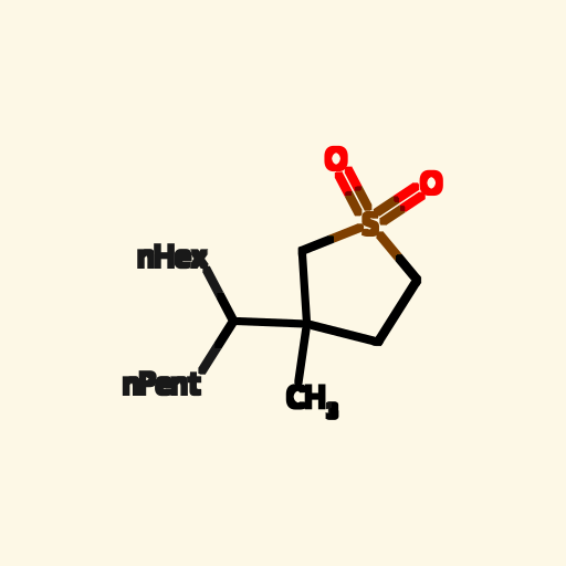 CCCCCCC(CCCCC)C1(C)CCS(=O)(=O)C1